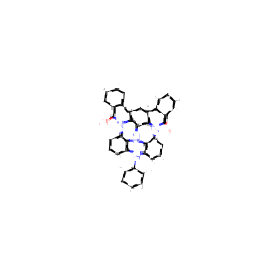 O=c1c2ccccc2c2cc3c4ccccc4c(=O)n4c5cccc6c5n5c7c(cccc7n1c2c5c34)n6-c1ccccc1